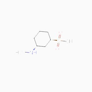 CN[C@H]1CCC[C@@H](S(C)(=O)=O)C1